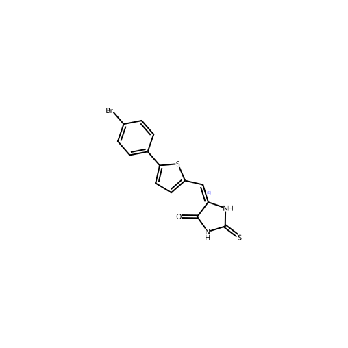 O=C1NC(=S)N/C1=C/c1ccc(-c2ccc(Br)cc2)s1